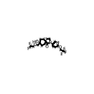 O=C1N(c2ccc(OCC(F)(F)F)nc2)CC[C@]12CC[C@](O)(COCC(F)F)CC2